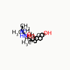 C=CC[N+](C)(C)CCNC(=O)CC[C@@H](C)[C@H]1CCC2C3CCC4C[C@H](O)CC[C@]4(C)C3C[C@H](O)[C@@]21C